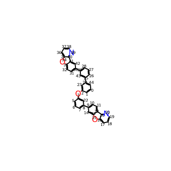 c1cc(Oc2cccc(-c3ccc4c(c3)oc3cccnc34)c2)cc(-c2cccc(-c3ccc4oc5cccnc5c4c3)c2)c1